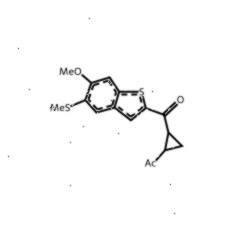 COc1cc2sc(C(=O)C3CC3C(C)=O)cc2cc1SC